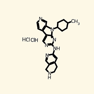 CC1CCC(n2c3cnccc3c3cnc(Nc4cc5c(cn4)CNCC5)nc32)CC1.Cl.Cl